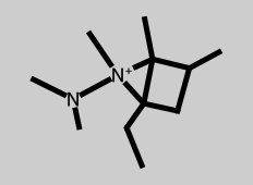 CCC12CC(C)C1(C)[N+]2(C)N(C)C